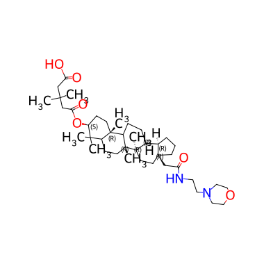 CC(C)(CC(=O)O)CC(=O)O[C@H]1CC[C@@]2(C)C(CC[C@]3(C)C2CC[C@@H]2[C@H]4CCC[C@]4(CC(=O)NCCN4CCOCC4)CC[C@]23C)C1(C)C